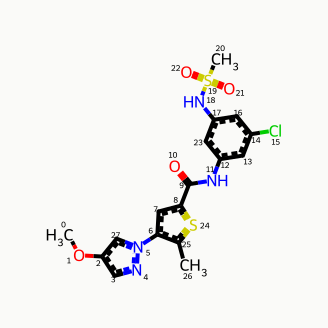 COc1cnn(-c2cc(C(=O)Nc3cc(Cl)cc(NS(C)(=O)=O)c3)sc2C)c1